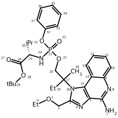 CCOCc1nc2c(N)nc3ccccc3c2n1C(C)(CC)COP(=O)(N[C@H](C(=O)OC(C)(C)C)C(C)C)Oc1ccccc1